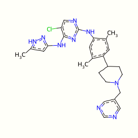 Cc1cc(Nc2nc(Nc3cc(C)c(C4CCN(Cc5cncnc5)CC4)cc3C)ncc2Cl)n[nH]1